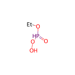 CCO[PH](=O)OO